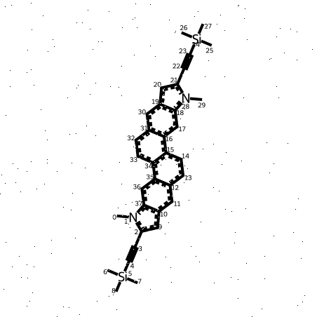 Cn1c(C#C[Si](C)(C)C)cc2cc3ccc4c5cc6c(cc(C#C[Si](C)(C)C)n6C)cc5ccc4c3cc21